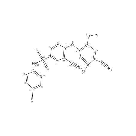 COc1cc(C#N)c(Cl)cc1Oc1ccc(S(=O)(=O)Nc2ccc(F)cn2)cc1C#N